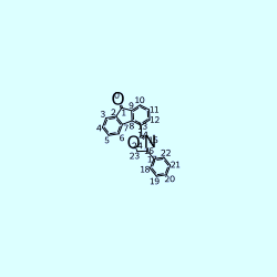 O=C1c2ccccc2-c2c1cccc2C1=NC(c2ccccc2)CO1